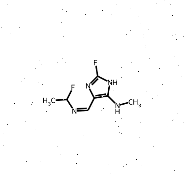 CNc1[nH]c(F)nc1/C=N\C(C)F